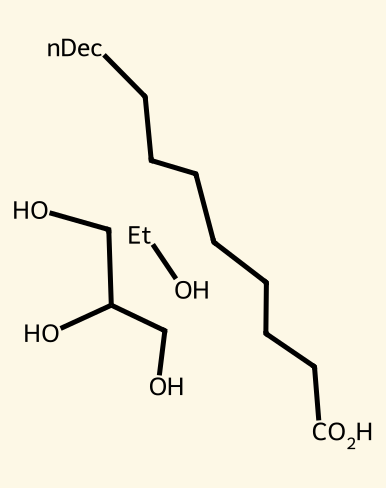 CCCCCCCCCCCCCCCCCC(=O)O.CCO.OCC(O)CO